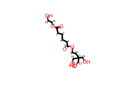 O=C(CCCCC(=O)OCCC(CO)(CO)CO)OCCO